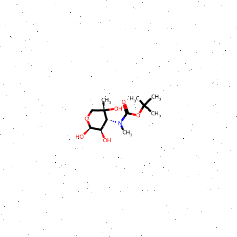 CN(C(=O)OC(C)(C)C)[C@@H]1[C@@H](O)[C@@H](O)OC[C@]1(C)O